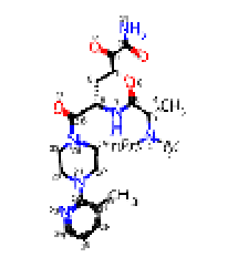 CCCN(C(C)=O)[C@@H](C)C(=O)N[C@@H](CCC(=O)C(N)=O)C(=O)N1CCN(c2ncccc2C)CC1